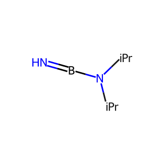 CC(C)N(B=N)C(C)C